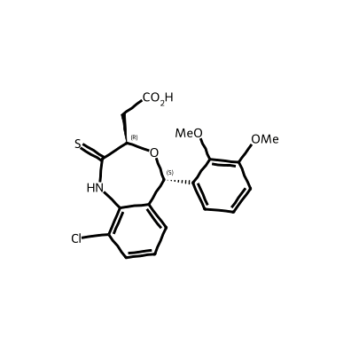 COc1cccc([C@H]2O[C@H](CC(=O)O)C(=S)Nc3c(Cl)cccc32)c1OC